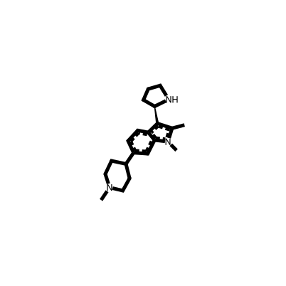 Cc1c([C@H]2CCCN2)c2ccc(C3CCN(C)CC3)cc2n1C